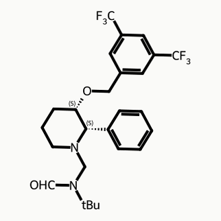 CC(C)(C)N(C=O)CN1CCC[C@H](OCc2cc(C(F)(F)F)cc(C(F)(F)F)c2)[C@@H]1c1ccccc1